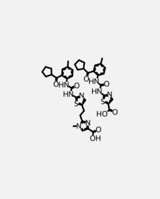 Cc1ccc(NC(=O)Nc2ncc(C(=O)O)s2)c(C(=O)C2CCCC2)c1.Cc1ccc(NC(=O)Nc2ncc(CCc3nc(C(=O)O)cn3C)s2)c(C(=O)C2CCCC2)c1